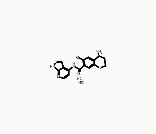 Cl.Cl.N[C@H]1CCSc2cc(C(=O)Nc3ccnc4[nH]ncc34)c(Cl)cc21